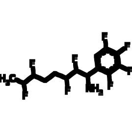 CC(F)C(F)CCC(F)C(F)C(N)c1cc(F)c(F)c(F)c1F